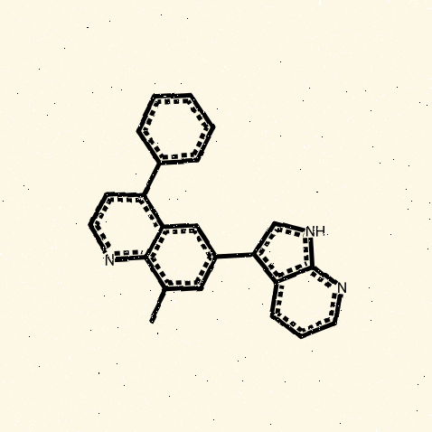 Cc1cc(-c2c[nH]c3ncccc23)cc2c(-c3ccccc3)ccnc12